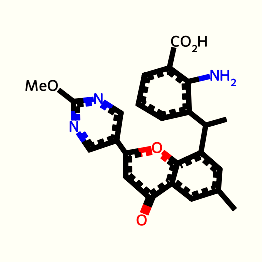 COc1ncc(-c2cc(=O)c3cc(C)cc(C(C)c4cccc(C(=O)O)c4N)c3o2)cn1